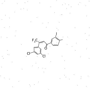 Cc1ccc(C(=O)C=C(c2cc(Cl)cc(Cl)c2)C(F)(F)F)cc1I